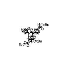 CC(C)(C)OC(=O)Nc1nc(/C(=N/OC2(C(=O)OC(C)(C)C)CN(C(=O)OC(C)(C)C)C2)C(=O)N[C@H]2CONC2=O)cs1